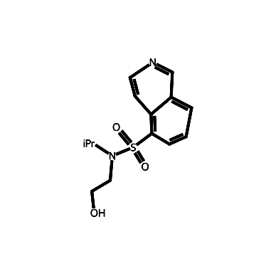 CC(C)N(CCO)S(=O)(=O)c1cccc2cnccc12